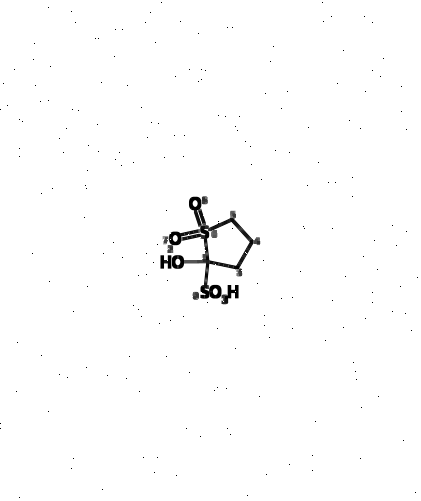 O=S(=O)(O)C1(O)CCCS1(=O)=O